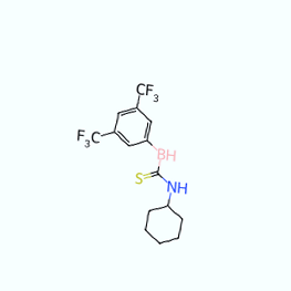 FC(F)(F)c1cc(BC(=S)NC2CCCCC2)cc(C(F)(F)F)c1